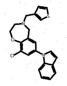 Clc1cc(-n2ccc3ccccc32)cc2c1OCCN(Cc1ccsc1)C2